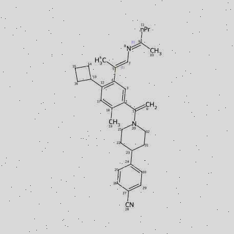 C=C(c1cc(/C(C)=C/N=C(\C)CCC)c(C2CCC2)cc1C)N1CCC(c2ccc(C#N)cc2)CC1